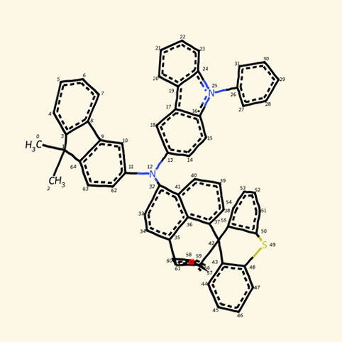 CC1(C)c2ccccc2-c2cc(N(c3ccc4c(c3)c3ccccc3n4-c3ccccc3)c3ccc4c5c(cccc35)C3(c5ccccc5Sc5ccccc53)c3ccccc3-4)ccc21